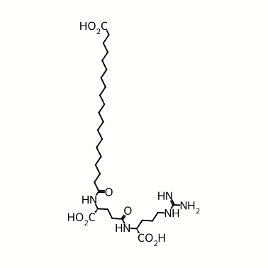 N=C(N)NCCC[C@H](NC(=O)CC[C@H](NC(=O)CCCCCCCCCCCCCCCCCCC(=O)O)C(=O)O)C(=O)O